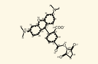 CN(C)c1ccc2c(-c3ccc(C(=O)ON4C(=O)CCC4=O)cc3C(=O)[O-])c3ccc(=[N+](C)C)cc-3oc2c1